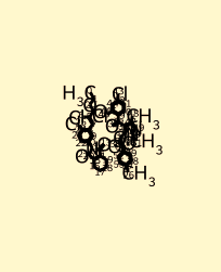 CCOC(=O)/C(Cl)=C/c1cc(N2C(=O)C3=C(CCCC3)C2=O)ccc1Cl.Cc1ccc(S(=O)(=O)Oc2c(C(=O)c3ccc(Cl)cc3Cl)c(C)nn2C)cc1